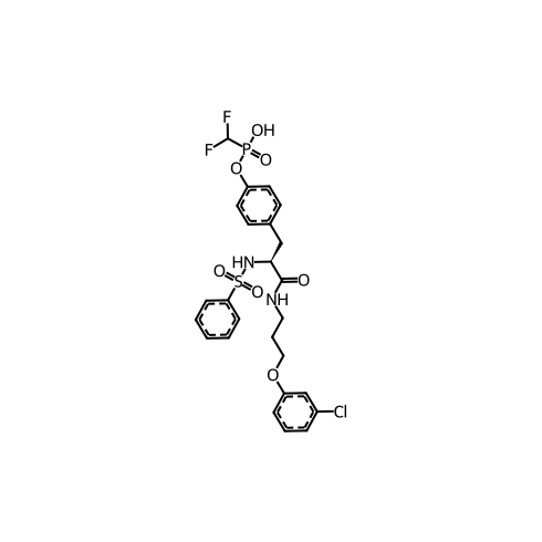 O=C(NCCCOc1cccc(Cl)c1)[C@H](Cc1ccc(OP(=O)(O)C(F)F)cc1)NS(=O)(=O)c1ccccc1